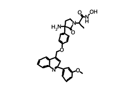 COc1cccc(-c2cc(COc3ccc(C4(N)CCN(C(C)C(=O)NO)C4=O)cc3)c3ccccc3n2)c1